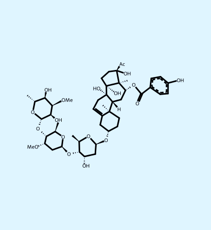 CO[C@H]1[C@@H](O)[C@H](O[C@H]2[C@@H](OC)C[C@H](O[C@H]3[C@@H](O)C[C@H](O[C@H]4CC[C@@]5(C)C(=CC[C@]6(O)[C@@H]5C[C@@H](OC(=O)c5ccc(O)cc5)[C@@]5(C)[C@]6(O)CC[C@@]5(O)C(C)=O)C4)O[C@@H]3C)O[C@@H]2C)O[C@H](C)[C@H]1O